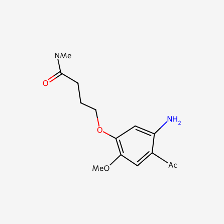 CNC(=O)CCCOc1cc(N)c(C(C)=O)cc1OC